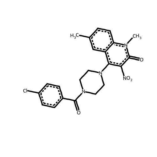 Cc1ccc2c(c1)c(N1CCN(C(=O)c3ccc(Cl)cc3)CC1)c([N+](=O)[O-])c(=O)n2C